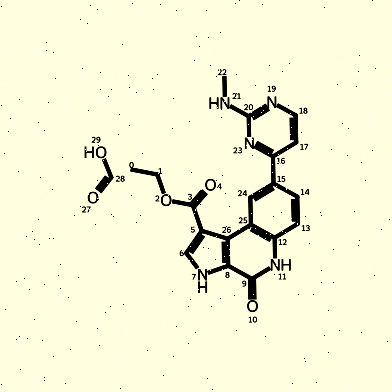 CCOC(=O)c1c[nH]c2c(=O)[nH]c3ccc(-c4ccnc(NC)n4)cc3c12.O=CO